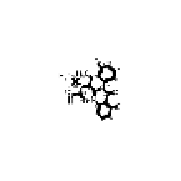 CCC(c1nc2cccc(Cl)c2c(=O)n1-c1cccc(F)c1)N(C(=O)O)C(C)(C)C